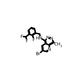 Cc1nnc(NCc2cccc(C(F)F)c2F)c2cc(Br)cnc12